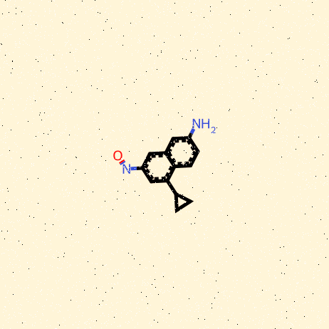 Nc1ccc2c(C3CC3)cc(N=O)cc2c1